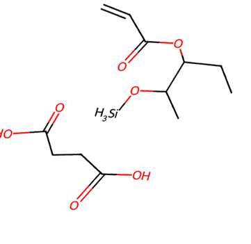 C=CC(=O)OC(CC)C(C)O[SiH3].O=C(O)CCC(=O)O